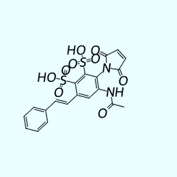 CC(=O)Nc1cc(C=Cc2ccccc2)c(S(=O)(=O)O)c(S(=O)(=O)O)c1N1C(=O)C=CC1=O